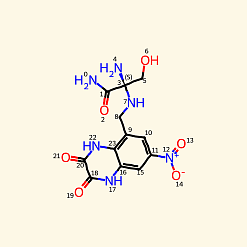 NC(=O)[C@](N)(CO)NCc1cc([N+](=O)[O-])cc2[nH]c(=O)c(=O)[nH]c12